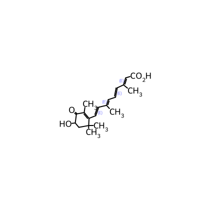 CC1=C(/C=C/C(C)=C/C=C/C(C)=C/C(=O)O)C(C)(C)CC(O)C1=O